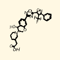 O=C(O)CC1CCCN([C@H]2COc3cc(-c4noc(-c5onc(-c6ccccc6)c5C(F)(F)F)n4)ccc3[C@H]2O)C1